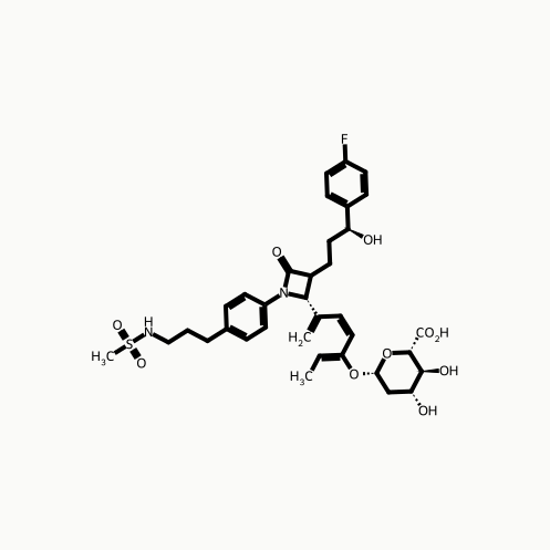 C=C(/C=C\C(=C\C)O[C@H]1C[C@@H](O)[C@H](O)[C@@H](C(=O)O)O1)[C@H]1C(CC[C@H](O)c2ccc(F)cc2)C(=O)N1c1ccc(CCCNS(C)(=O)=O)cc1